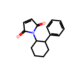 O=C1C=CC(=O)N1C1CCCCC1c1ccccc1